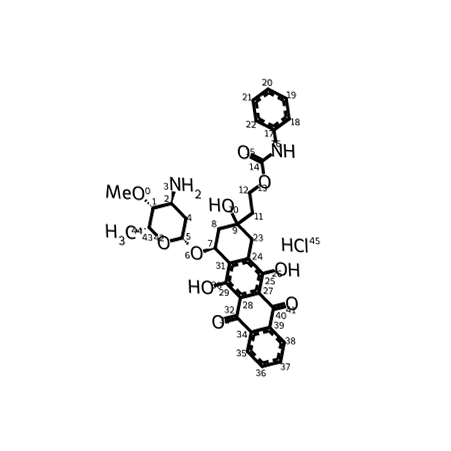 CO[C@@H]1[C@@H](N)C[C@H](O[C@H]2CC(O)(CCOC(=O)Nc3ccccc3)Cc3c(O)c4c(c(O)c32)C(=O)c2ccccc2C4=O)O[C@@H]1C.Cl